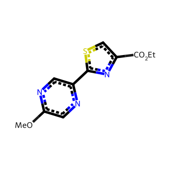 CCOC(=O)c1csc(-c2cnc(OC)cn2)n1